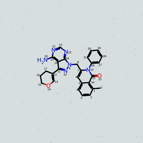 Cc1cccc2cc(Cn3nc(C4=COCCC4)c4c(N)ncnc43)n(-c3ccccc3)c(=O)c12